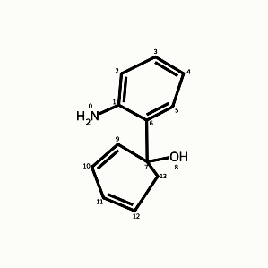 Nc1ccccc1C1(O)C=CC=CC1